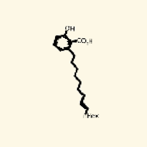 CCCCCCC=CCCCCCCCc1cccc(O)c1C(=O)O